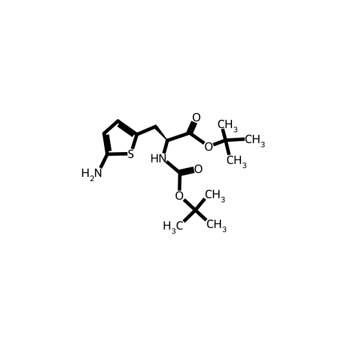 CC(C)(C)OC(=O)N[C@@H](Cc1ccc(N)s1)C(=O)OC(C)(C)C